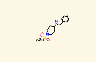 CCCCS(=O)(=O)N1CCC(NCc2ccccc2)CC1